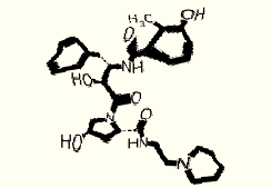 Cc1c(O)cccc1C(=O)N[C@@H](Cc1ccccc1)[C@H](O)C(=O)N1C[C@H](O)C[C@H]1C(=O)NCCN1CCCCC1